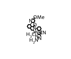 COc1ccc(-c2cccc3cc([C@H](C)Nc4nc(N)ncc4C#N)n(-c4ccccc4)c(=O)c23)nc1